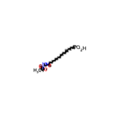 CC1CC(=O)N(CCNC(=O)CCCCCCCCCCCCCCCCCCC(=O)O)C1=O